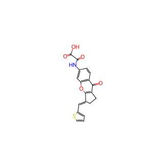 O=C(O)C(=O)Nc1ccc2c(=O)c3c(oc2c1)C(=Cc1cccs1)CC3